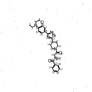 CCN1CCOc2cc(-c3noc(C4CCN(C(=O)CNC(=O)c5ccccc5)CC4)n3)ccc21